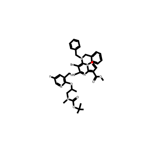 COC(=O)c1cnn2c(N(Cc3ccccc3)Cc3ccccc3)c(Br)c(NCc3cc(F)cnc3OC(C)CN(C)C(=O)OC(C)(C)C)nc12